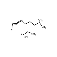 CCN=C=NCCCN(C)C.Cl.NCC(F)(F)F